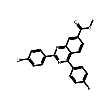 COC(=O)c1ccc2c(-c3ccc(F)cc3)nc(-c3ccc(Cl)cc3)nc2c1